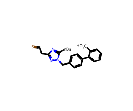 CCCCc1nc(CC=S)nn1Cc1ccc(-c2ccccc2C(=O)O)cc1